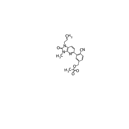 C=CCn1c(=O)n(C)c2nc(-c3cc(COS(C)(=O)=O)ccc3C#N)ccc21